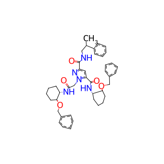 CC(CNC(=O)c1cc(C(=O)N[C@H]2CCCC[C@@H]2OCc2ccccc2)n(CC(=O)N[C@H]2CCCC[C@@H]2OCc2ccccc2)n1)c1ccccc1